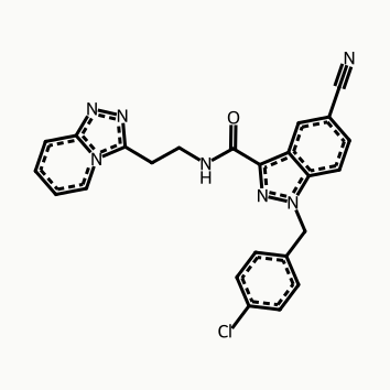 N#Cc1ccc2c(c1)c(C(=O)NCCc1nnc3ccccn13)nn2Cc1ccc(Cl)cc1